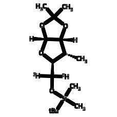 [2H]C([2H])(O[Si](C)(C)C(C)(C)C)[C@H]1O[C@@H]2OC(C)(C)O[C@@H]2[C@@H]1C